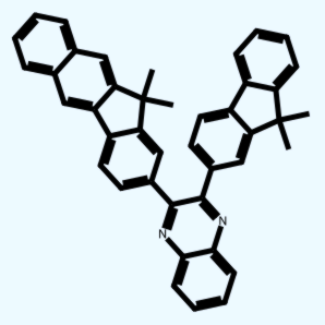 CC1(C)c2ccccc2-c2ccc(-c3nc4ccccc4nc3-c3ccc4c(c3)C(C)(C)c3cc5ccccc5cc3-4)cc21